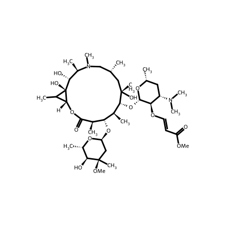 COC(=O)/C=C/O[C@H]1[C@H](O[C@@H]2[C@@H](C)[C@H](O[C@H]3C[C@@](C)(OC)[C@@H](O)[C@H](C)O3)[C@@H](C)C(=O)O[C@@H]3C(C)[C@]3(O)[C@H](O)[C@@H](C)N(C)C[C@H](C)C[C@]2(C)O)O[C@H](C)C[C@@H]1N(C)C